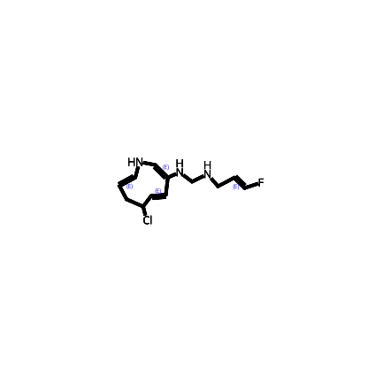 F/C=C/CNCNC1=C/N/C=C/CC(Cl)\C=C\1